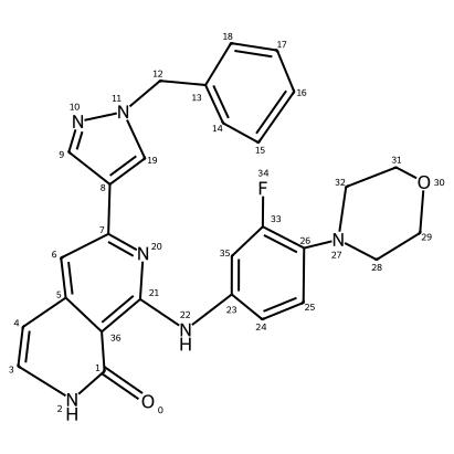 O=c1[nH]ccc2cc(-c3cnn(Cc4ccccc4)c3)nc(Nc3ccc(N4CCOCC4)c(F)c3)c12